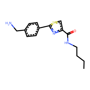 CCCCNC(=O)c1csc(-c2ccc(CN)cc2)n1